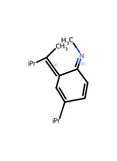 C/N=C1/C=CC(C(C)C)=C/C1=C(/C)C(C)C